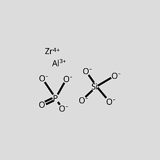 O=P([O-])([O-])[O-].[Al+3].[O-][Si]([O-])([O-])[O-].[Zr+4]